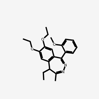 CCOc1cc2c(cc1OCC)C(CC)C(C)=NN=C2c1ccccc1OC